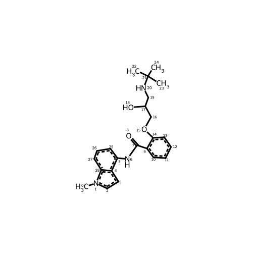 Cn1ccc2c(NC(=O)c3ccccc3OCC(O)CNC(C)(C)C)cccc21